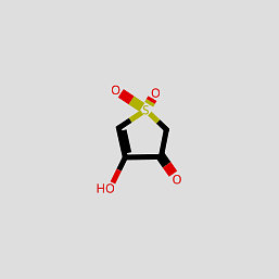 O=C1CS(=O)(=O)C=C1O